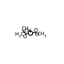 CCC(C)(C)C(=O)C1CCC(C(=O)OC)CC1